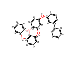 c1ccc(-c2cccc(Oc3ccc4c(c3)Oc3cccc5c3B4c3ccccc3O5)c2)cc1